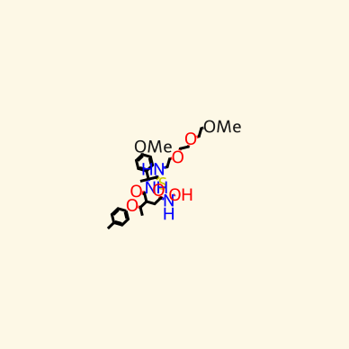 COCCOCCOCCNC(=S)C(C)(NC(=O)C(CC(=O)NO)C(C)Oc1ccc(C)cc1)c1ccc(OC)cc1